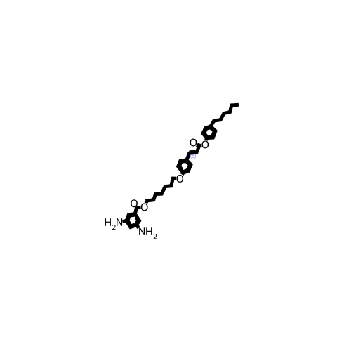 CCCCCCc1ccc(OC(=O)/C=C/c2ccc(OCCCCCCCOC(=O)c3cc(N)cc(N)c3)cc2)cc1